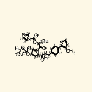 Cc1ncsc1-c1ccc(CNC(=O)[C@@H]2C[C@@H](O[Si](C)(C)C(C)(C)C)CN2C(=O)[C@@H](OC(=O)n2ccnc2)C(C)(C)C)cc1